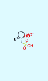 [B+2]c1ccccc1CS(=O)(=O)O.[OH-].[OH-]